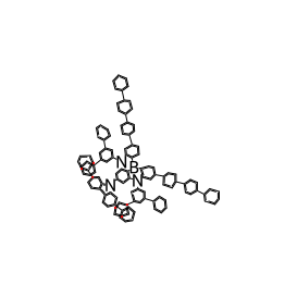 c1ccc(-c2ccc(-c3ccc(-c4ccc5c(c4)N(c4cc(-c6ccccc6)cc(-c6ccccc6)c4)c4cc(-n6c7cc(-c8ccccc8)ccc7c7ccc(-c8ccccc8)cc76)cc6c4B5c4ccc(-c5ccc(-c7ccc(-c8ccccc8)cc7)cc5)cc4N6c4cc(-c5ccccc5)cc(-c5ccccc5)c4)cc3)cc2)cc1